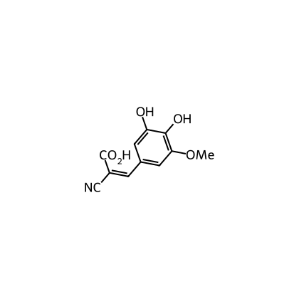 COc1cc(C=C(C#N)C(=O)O)cc(O)c1O